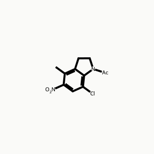 CC(=O)N1CCc2c(C)c([N+](=O)[O-])cc(Cl)c21